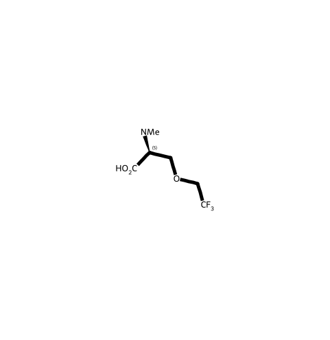 CN[C@@H](COCC(F)(F)F)C(=O)O